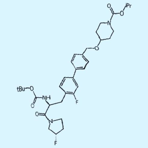 CC(C)OC(=O)N1CCC(OCc2ccc(-c3ccc(CC(NC(=O)OC(C)(C)C)C(=O)N4CC[C@H](F)C4)c(F)c3)cc2)CC1